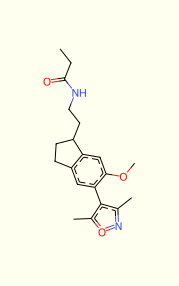 CCC(=O)NCCC1CCc2cc(-c3c(C)noc3C)c(OC)cc21